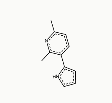 Cc1ccc(-c2ccc[nH]2)c(C)n1